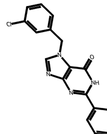 O=c1[nH]c(-c2cccnc2)nc2ncn(Cc3cccc(Cl)c3)c12